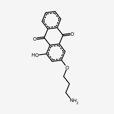 NCCCOc1cc(O)c2c(c1)C(=O)c1ccccc1C2=O